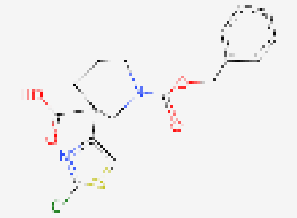 O=C(OCc1ccccc1)N1CCCC(C(=O)O)(c2csc(Cl)n2)C1